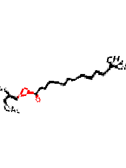 CC(=O)OCC(COC(=O)CCCCCCCCCCC(C)OC(C)=O)OC(C)=O